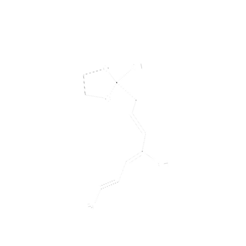 CC(C=CCC1(C)OCCO1)=CC=CBr